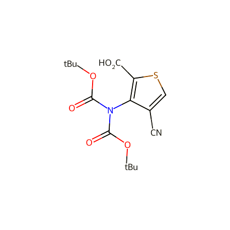 CC(C)(C)OC(=O)N(C(=O)OC(C)(C)C)c1c(C#N)csc1C(=O)O